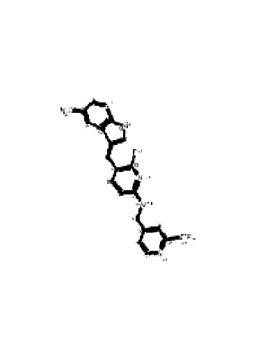 Cc1cnc2[nH]cc(Cc3ccc(NCc4ccnc(C(F)(F)F)c4)nc3F)c2c1